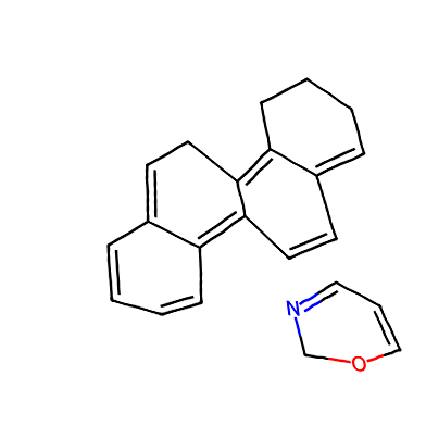 C1=COCN=C1.C1=c2ccc3c(c2CCC1)CC=c1ccccc1=3